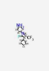 Nc1ccc(-n2cc(C(F)(F)F)c(-c3ccccc3)c2F)cc1